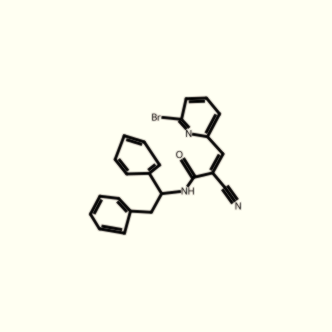 N#CC(=Cc1cccc(Br)n1)C(=O)NC(Cc1ccccc1)c1ccccc1